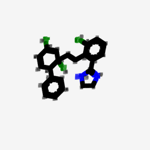 Clc1cccc(C2=NCCN2)c1CCC1(Cl)C=C(Br)C=CC1c1ccccc1